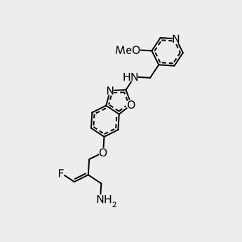 COc1cnccc1CNc1nc2ccc(OC/C(=C\F)CN)cc2o1